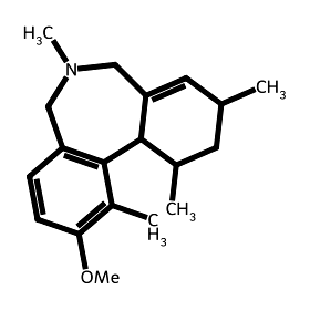 COc1ccc2c(c1C)C1C(=CC(C)CC1C)CN(C)C2